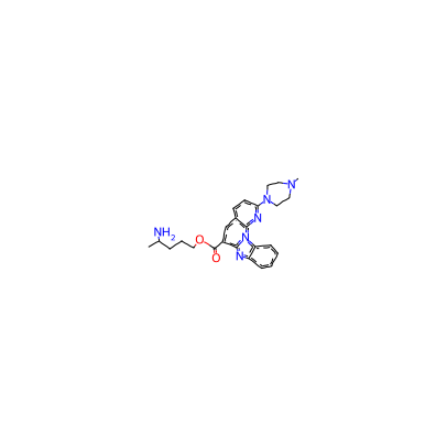 CC(N)CCCOC(=O)c1cc2ccc(N3CCN(C)CC3)nc2n2c1nc1ccccc12